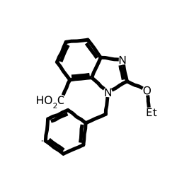 CCOc1nc2cccc(C(=O)O)c2n1Cc1cc[c]cc1